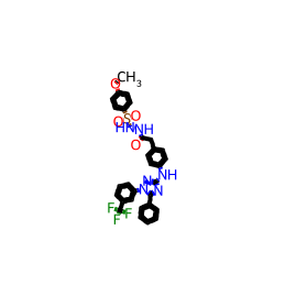 COc1ccc(S(=O)(=O)NNC(=O)Cc2ccc(Nc3nc(-c4ccccc4)n(-c4cccc(C(F)(F)F)c4)n3)cc2)cc1